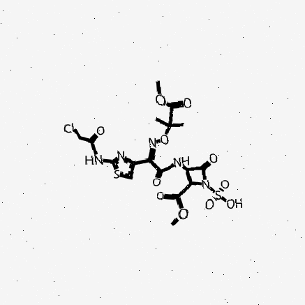 COC(=O)C1C(NC(=O)C(=NOC(C)(C)C(=O)OC)c2csc(NC(=O)CCl)n2)C(=O)N1S(=O)(=O)O